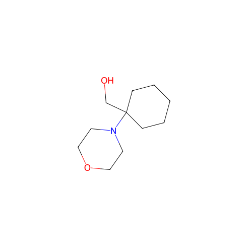 OCC1(N2CCOCC2)CCCCC1